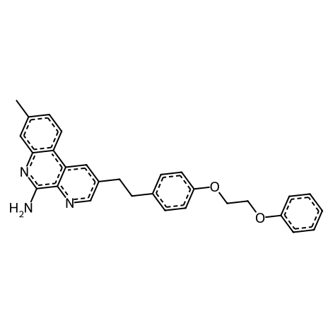 Cc1ccc2c(c1)nc(N)c1ncc(CCc3ccc(OCCOc4ccccc4)cc3)cc12